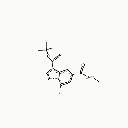 CCOC(=O)c1cc(C)c2ccn(C(=O)OC(C)(C)C)c2c1